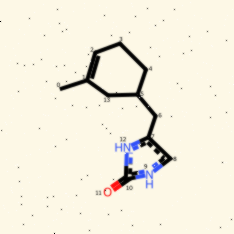 CC1=CCCC(Cc2c[nH]c(=O)[nH]2)C1